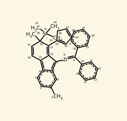 Cc1ccc2c(c1)=[C]([Zr]=[C](c1ccccc1)c1ccccc1)C1=C(C3=CC=CC3)C(C)([Si](C)(C)C)C=CC=21